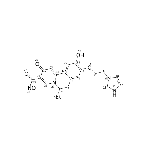 CCC1Cc2cc(OCCN3C=CNC3)c(O)cc2-c2cc(=O)c(C(=O)N=O)cn21